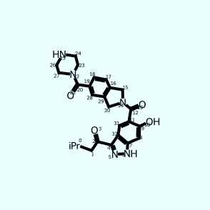 CC(C)CC(=O)c1n[nH]c2cc(O)c(C(=O)N3Cc4ccc(C(=O)N5CCNCC5)cc4C3)cc12